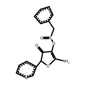 NC1=C(OS(=O)Cc2ccccc2)C(=O)C(c2cccnc2)O1